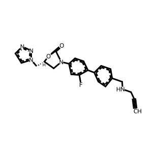 C#CCNCc1ccc(-c2ccc(N3C[C@H](Cn4ccnn4)OC3=O)cc2F)cc1